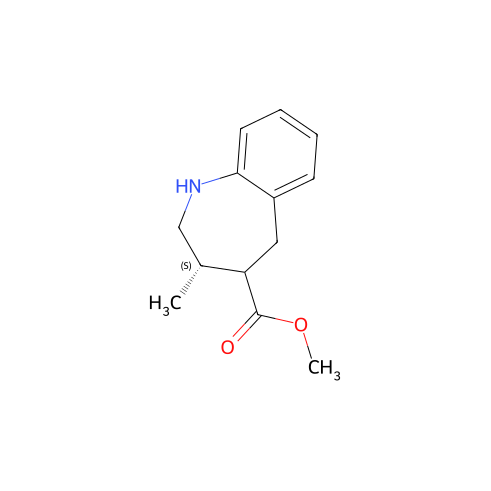 COC(=O)C1Cc2ccccc2NC[C@H]1C